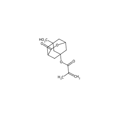 C=C(C)C(=O)OC12CC3CC(C(=O)O)(CC(C1)C(=O)O3)C2